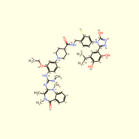 C=N/C(=N\C1=C(C)N(C)C(=O)c2ccccc2N1C)Nc1ccc(N2CCC(C(=O)NCc3ccc(-n4c(O)nnc4-c4cc(C(C)C)c(O)cc4O)cc3F)CC2)cc1OCC